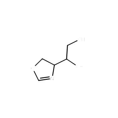 CCC(C)C1COC=N1